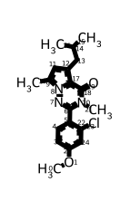 COc1ccc(-c2nn3c(C)cc(CC(C)C)c3c(=O)n2C)c(Cl)c1